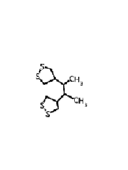 CC(C1CSSC1)C(C)C1CSSC1